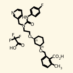 Cc1cccc(CO[C@@H]2CCC[C@H](OCCN(Cc3cccnc3)C(=O)Nc3ccc(F)cc3)C2)c1C(=O)O.O=C(O)C(F)(F)F